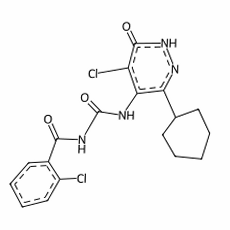 O=C(NC(=O)c1ccccc1Cl)Nc1c(C2CCCCC2)n[nH]c(=O)c1Cl